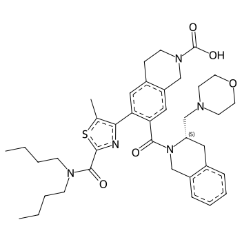 CCCCN(CCCC)C(=O)c1nc(-c2cc3c(cc2C(=O)N2Cc4ccccc4C[C@H]2CN2CCOCC2)CN(C(=O)O)CC3)c(C)s1